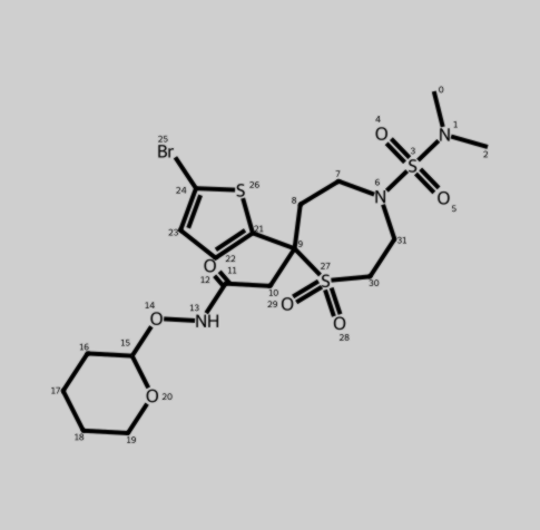 CN(C)S(=O)(=O)N1CCC(CC(=O)NOC2CCCCO2)(c2ccc(Br)s2)S(=O)(=O)CC1